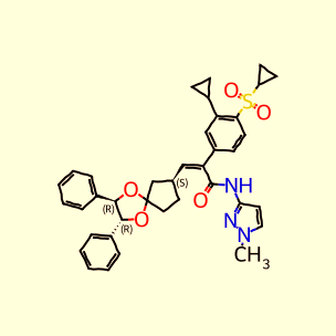 Cn1ccc(NC(=O)C(=C[C@H]2CCC3(C2)O[C@H](c2ccccc2)[C@@H](c2ccccc2)O3)c2ccc(S(=O)(=O)C3CC3)c(C3CC3)c2)n1